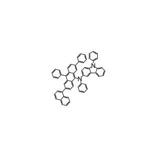 c1ccc(-c2ccc3c(-c4ccccc4)c4cc(-c5cccc6ccccc56)ccc4c(N(c4ccccc4)c4ccc5c(c4)c4ccccc4n5-c4ccccc4)c3c2)cc1